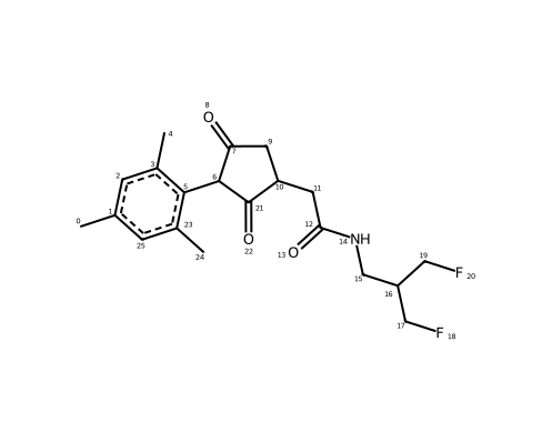 Cc1cc(C)c(C2C(=O)CC(CC(=O)NCC(CF)CF)C2=O)c(C)c1